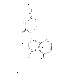 C=C1CCC(n2nc(F)c3c(C(C)(C)C)cccc32)C(=O)N1